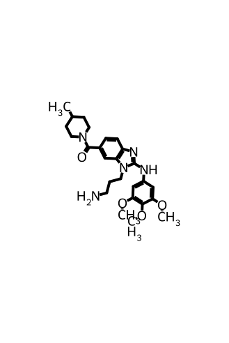 COc1cc(Nc2nc3ccc(C(=O)N4CCC(C)CC4)cc3n2CCCN)cc(OC)c1OC